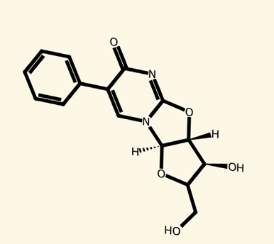 O=c1nc2n(cc1-c1ccccc1)[C@@H]1OC(CO)[C@H](O)[C@H]1O2